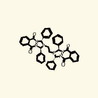 O=c1c2ccccc2c(=O)n2n1[C@H](c1ccccc1)P(CCP1[C@@H](c3ccccc3)n3c(=O)c4ccccc4c(=O)n3[C@@H]1c1ccccc1)[C@H]2c1ccccc1